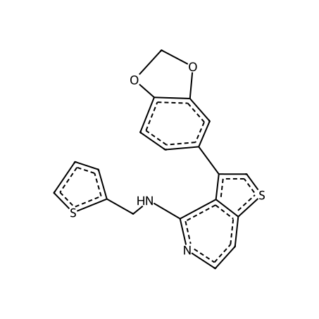 c1csc(CNc2nccc3scc(-c4ccc5c(c4)OCO5)c23)c1